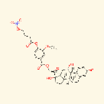 COc1cc(C(=O)OCC(=O)[C@@]2(O)CC[C@H]3[C@@H]4CCC5=CC(=O)C=C[C@]5(C)[C@H]4[C@@H](O)C[C@@]32C)ccc1OC(=O)CCCO[N+](=O)[O-]